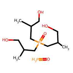 CC(CO)CP(=O)(CC(C)CO)CC(C)CO.O=[PH3]